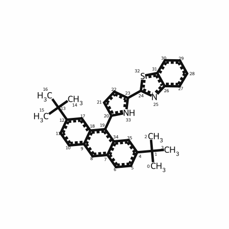 CC(C)(C)c1ccc2cc3ccc(C(C)(C)C)cc3c(-c3ccc(-c4nc5ccccc5s4)[nH]3)c2c1